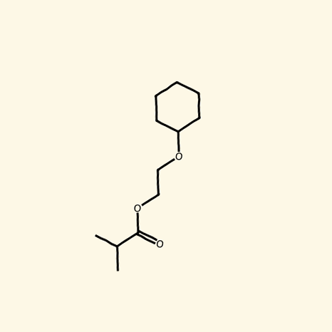 CC(C)C(=O)OCCOC1CCCCC1